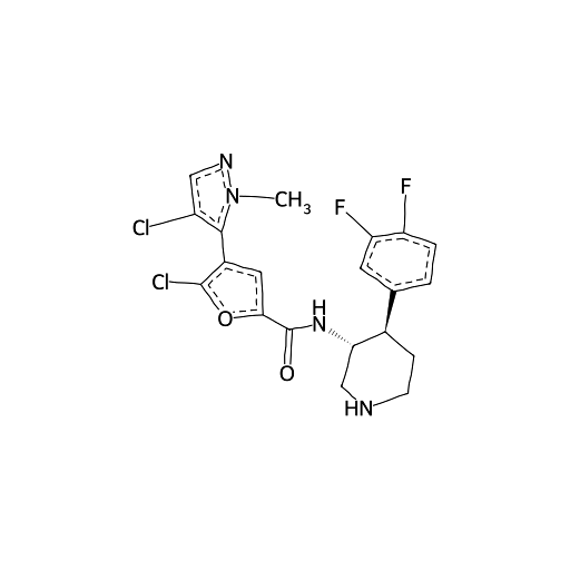 Cn1ncc(Cl)c1-c1cc(C(=O)N[C@H]2CNCC[C@@H]2c2ccc(F)c(F)c2)oc1Cl